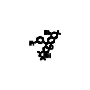 CCC1CC(C)(C)C=c2cc3c(cc21)=C(c1cccc(C(C)C)c1)c1cc2c(cc1O3)NC(C)(C)C=C2C